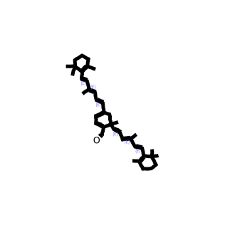 CC1=C(/C=C/C(C)=C/C=C/C2=CC=C(C=O)C(C)(/C=C/C=C(C)/C=C/C3=C(C)CCCC3(C)C)C2)C(C)(C)CCC1